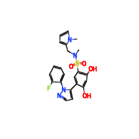 CN(Cc1cccn1C)S(=O)(=O)c1cc(-c2ccnn2-c2ccccc2F)c(O)cc1O